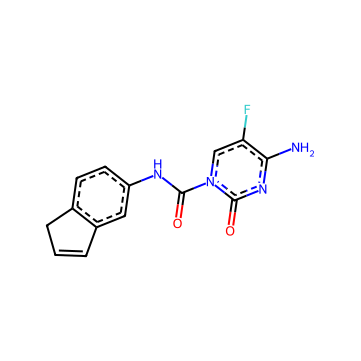 Nc1nc(=O)n(C(=O)Nc2ccc3c(c2)C=CC3)cc1F